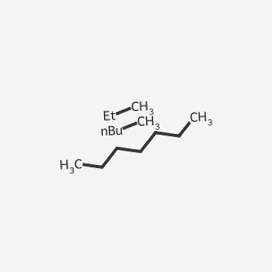 CCC.CCCCC.CCCCCCC